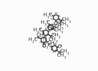 C=C(C)C1CC=C(C)C(=O)C1.C=C(C)C1CC=C(C)CC1.CC(C)[C@H]1CC[C@H](C)CC1=O.CC12CCC(CC1)C(C)(C)O2.CC1CCC(C(C)C)C(O)C1